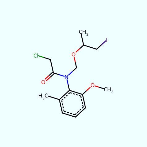 COc1cccc(C)c1N(COC(C)CI)C(=O)CCl